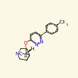 FC(F)(F)c1ccc(-c2ccc(O[C@H]3CN4CCC3CC4)nn2)cc1